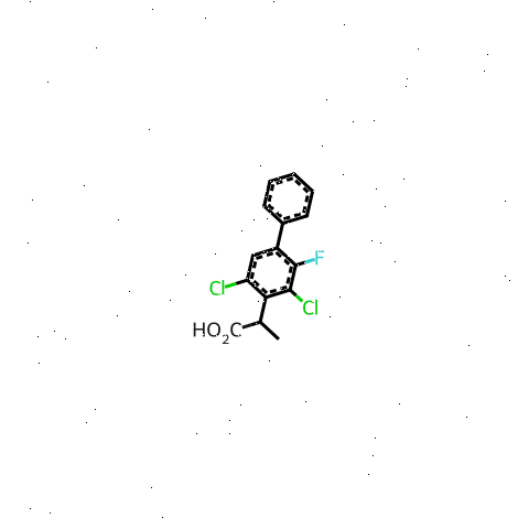 CC(C(=O)O)c1c(Cl)cc(-c2ccccc2)c(F)c1Cl